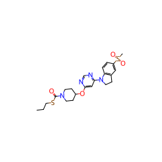 CCCSC(=O)N1CCC(Oc2cc(N3CCc4cc(S(C)(=O)=O)ccc43)ncn2)CC1